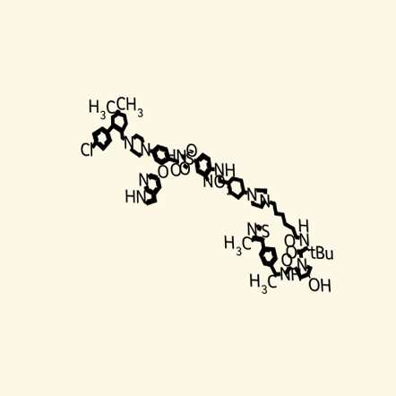 Cc1ncsc1-c1ccc([C@H](C)NC(=O)[C@@H]2C[C@@H](O)CN2C(=O)[C@@H](NC(=O)CCCCCN2CCN(C3CCC(CNc4ccc(S(=O)(=O)NC(=O)c5ccc(N6CCN(CC7=C(c8ccc(Cl)cc8)CC(C)(C)CC7)CC6)cc5Oc5cnc6[nH]ccc6c5)cc4[N+](=O)[O-])CC3)CC2)C(C)(C)C)cc1